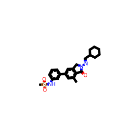 Cc1cc(-c2cccc(NS(C)(=O)=O)c2)cc2c1C(=O)N(N=CC1CCCCC1)C2